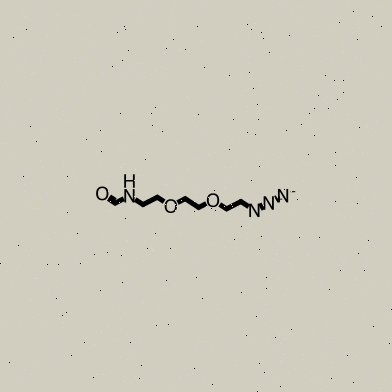 [N-]=[N+]=NCCOCCOCCNC=O